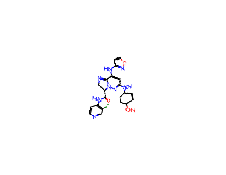 O=C(Nc1ccncc1F)C1CN=C2C(Nc3ccon3)=CC(NC3CCC(O)CC3)=NN21